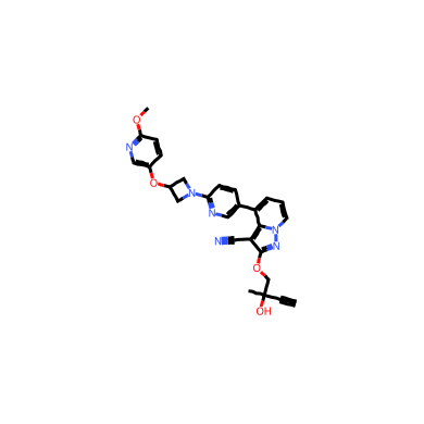 C#CC(C)(O)COc1nn2cccc(-c3ccc(N4CC(Oc5ccc(OC)nc5)C4)nc3)c2c1C#N